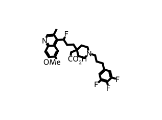 COc1ccc2ncc(C)c(C(F)CCC3(CC(=O)O)CCN(CCCc4cc(F)c(F)c(F)c4)CC3)c2c1